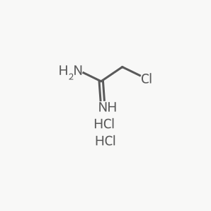 Cl.Cl.N=C(N)CCl